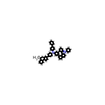 CC1Cc2cc(-c3ccc(N(c4ccc(-c5ccccc5)cc4)c4cccc(-c5cccc6c5c5c7ccccc7ccc5n6-c5ccccc5)c4)cc3)ccc2-c2ccccc21